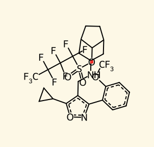 O=S(=O)(OC1C2CCC1CC(NCc1c(-c3ccccc3OC(F)(F)F)noc1C1CC1)C2)C(F)(F)C(F)(F)C(F)(F)C(F)(F)F